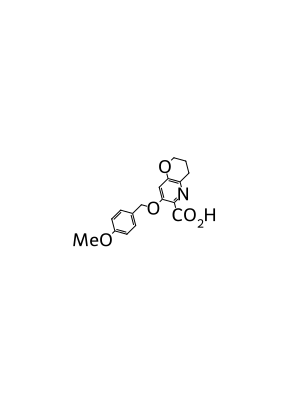 COc1ccc(COc2cc3c(nc2C(=O)O)CCCO3)cc1